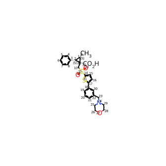 C[C@H]1[C@@H](c2ccccc2)[C@@]1(CS(=O)(=O)c1ccc(-c2cccc(CN3CCOCC3)c2)s1)C(=O)O